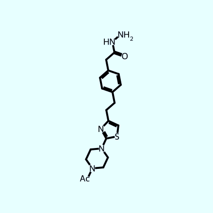 CC(=O)N1CCN(c2nc(CCc3ccc(CC(=O)NN)cc3)cs2)CC1